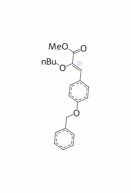 CCCCO/C(=C\c1ccc(OCc2ccccc2)cc1)C(=O)OC